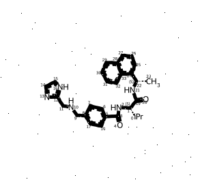 CC(C)[C@H](NC(=O)c1ccc(CNCc2ncc[nH]2)cc1)C(=O)N[C@@H](C)c1cccc2ccccc12